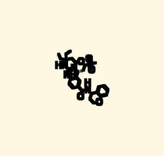 CCC1(CC)CC(=O)N([C@H](CCS(C)(=O)=O)c2cccc(C(=O)N[C@H]3CCOc4ccccc43)c2)C(=N)N1